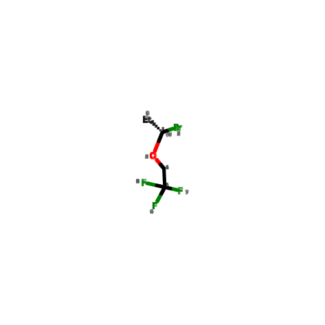 CC[C@H](Br)OCC(F)(F)F